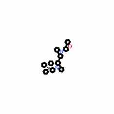 c1ccc([Si](c2ccccc2)(c2ccccc2)c2cccc(-n3c4ccccc4c4cc(-c5ccc6c(c5)c5ccccc5n6-c5ccc6oc7ccccc7c6c5)ccc43)c2)cc1